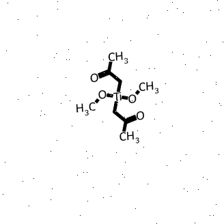 C[O][Ti]([CH2]C(C)=O)([CH2]C(C)=O)[O]C